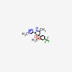 C[C@H]1C[C@](c2ccc(C(F)(F)F)cc2)(S(C)(=O)=O)C[C@@H](c2cn(C)nn2)N1